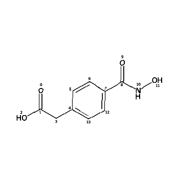 O=C(O)Cc1ccc(C(=O)NO)cc1